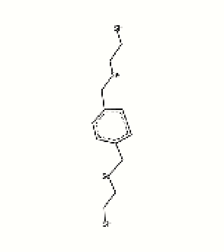 SCC[Se]Cc1ccc(C[Se]CCS)cc1